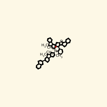 CC1CC=CC(c2cccc3oc4c5ccccc5ccc4c23)=C1N(c1ccc2c(c1)C(C)(C)c1ccccc1-2)c1ccc2c(c1)C(C)(C)c1cc(-c3ccc4ccccc4c3)ccc1-2